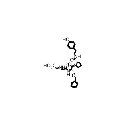 O=C(O)CNCC(=O)N[C@@H](COCc1ccccc1)C(=O)N1CCC[C@H]1C(=O)NCCc1ccc(O)cc1